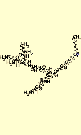 CCCCCCCC/C=C\CCCCCCCC(=O)OCCCOC(=O)C(CCCCNC(=O)CCC(=O)OCCNC)NC(=O)CCC(=O)OCCNC(=O)CNCCN(CCNC(=O)C(N)CCCN)CCNC(=O)C(N)CCCN